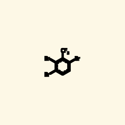 FC(F)(F)c1c(Br)ccc(Br)c1Br